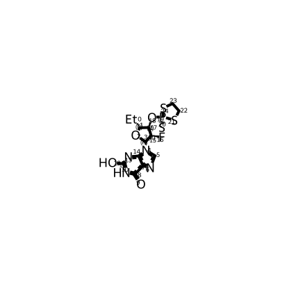 CC[C@H]1O[C@@H](n2cnc3c(=O)[nH]c(O)nc32)[C@H](F)[C@@H]1OP1(=S)SCCS1